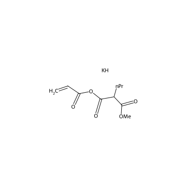 C=CC(=O)OC(=O)C(CCC)C(=O)OC.[KH]